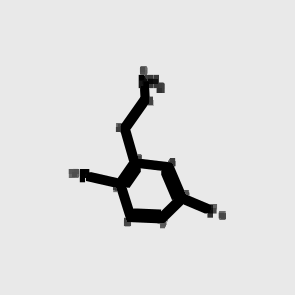 NCCc1cc(F)[c]cc1F